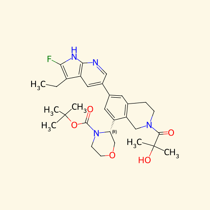 CCc1c(F)[nH]c2ncc(-c3cc4c(c([C@@H]5COCCN5C(=O)OC(C)(C)C)c3)CN(C(=O)C(C)(C)O)CC4)cc12